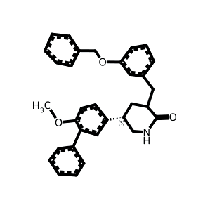 COc1ccc([C@H]2CNC(=O)C(Cc3cccc(OCc4ccccc4)c3)C2)cc1-c1ccccc1